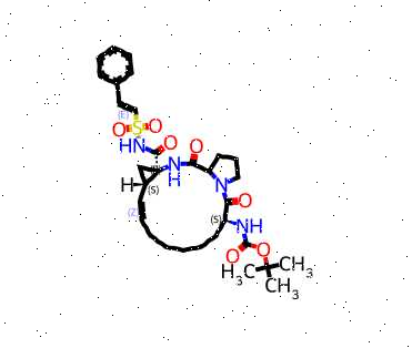 CC(C)(C)OC(=O)N[C@H]1CCCCC/C=C\[C@@H]2C[C@@]2(C(=O)NS(=O)(=O)/C=C/c2ccccc2)NC(=O)C2CCCN2C1=O